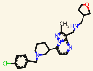 Cc1nn2c([C@@H]3CCCN(Cc4ccc(Cl)cc4)C3)ccnc2c1CNC[C@H]1CCOC1